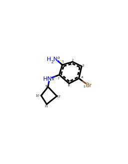 Nc1ccc(Br)cc1NC1CCC1